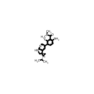 CC(C)[C@H]1C[C@]12CNc1ncc(-c3ccc(N)c(C(=O)N(C)C)c3F)cc12